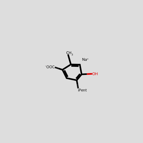 CCCC(C)c1cc(C(=O)[O-])c(C)cc1O.[Na+]